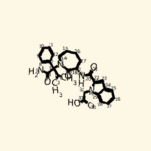 CC(C)C(C(N)=O)(c1ccccc1)N1CCCC[C@@H](NC(=O)c2cc3ccccc3n2CC(=O)O)C1=O